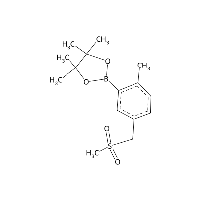 Cc1ccc(CS(C)(=O)=O)cc1B1OC(C)(C)C(C)(C)O1